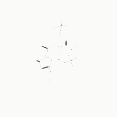 CCC(=O)N[C@@H](CCC(Cl)(Cl)Cl)C(=O)N1C(=O)C=C(ON)[C@@H]1CCC(Cl)(Cl)Cl